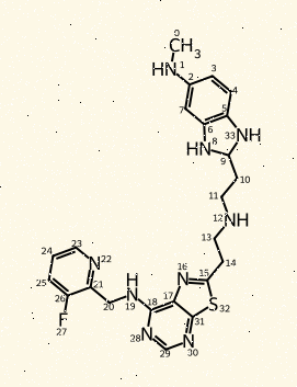 CNc1ccc2c(c1)NC(CCNCCc1nc3c(NCc4ncccc4F)ncnc3s1)N2